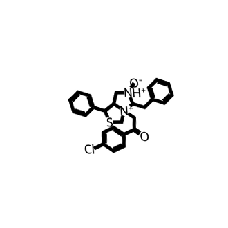 O=C(C[N+]12CSC(c3ccccc3)C1C[NH+]([O-])C2Cc1ccccc1)c1ccc(Cl)cc1